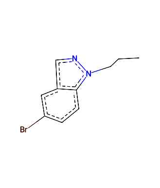 CCCn1ncc2cc(Br)ccc21